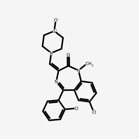 CN1C(=O)C(=CN2CC[S+]([O-])CC2)N=C(c2ccccc2Cl)c2cc(Cl)ccc21